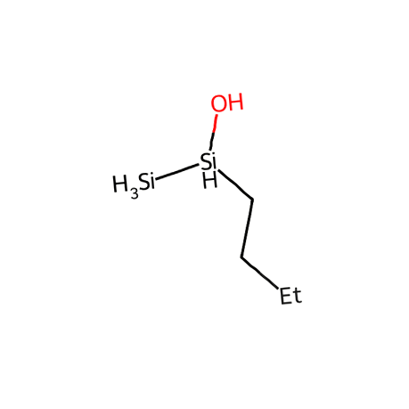 [CH2]CCC[SiH](O)[SiH3]